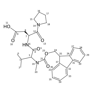 CC(C)C(C(=O)N[C@@H](CC(=O)O)C(=O)N1CCCC1)N(C)C(=O)OCC1c2ccccc2-c2ccccc21